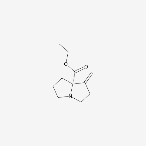 C=C1CCN2CCC[C@@]12C(=O)OCC